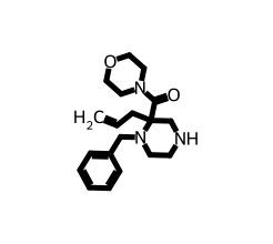 C=CCC1(C(=O)N2CCOCC2)CNCCN1Cc1ccccc1